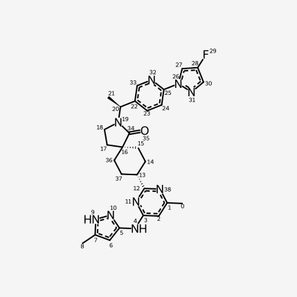 Cc1cc(Nc2cc(C)[nH]n2)nc([C@H]2CC[C@@]3(CCN([C@@H](C)c4ccc(-n5cc(F)cn5)nc4)C3=O)CC2)n1